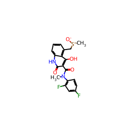 CN(C(=O)c1c(O)c2c(C[S+](C)[O-])cccc2[nH]c1=O)c1ccc(F)cc1F